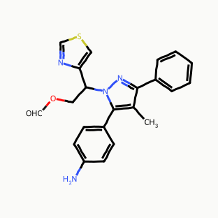 Cc1c(-c2ccccc2)nn(C(COC=O)c2cscn2)c1-c1ccc(N)cc1